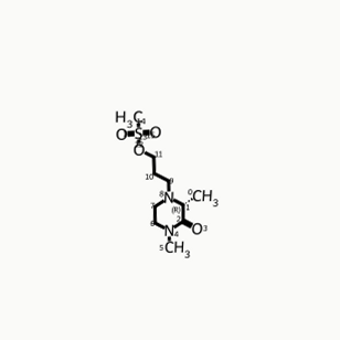 C[C@@H]1C(=O)N(C)CCN1CCCOS(C)(=O)=O